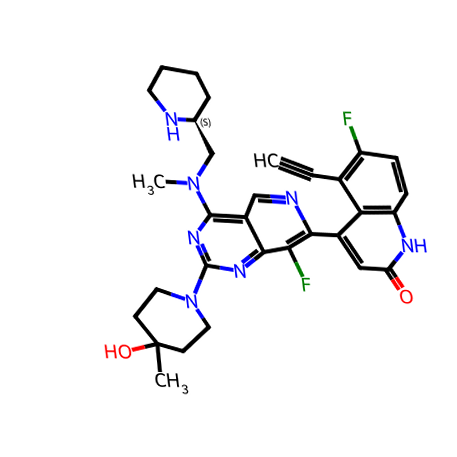 C#Cc1c(F)ccc2[nH]c(=O)cc(-c3ncc4c(N(C)C[C@@H]5CCCCN5)nc(N5CCC(C)(O)CC5)nc4c3F)c12